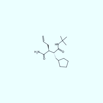 C=CC[C@H](C(N)=O)[C@@H](CC1CCCC1)C(=O)NC(C)(C)C